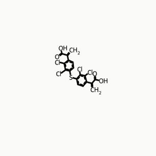 C=C(C(=O)O)c1ccc(Sc2ccc(C(=C)C(=O)O)c(Cl)c2Cl)c(Cl)c1Cl